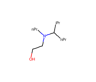 CCCC(C(C)C)N(CCC)CCO